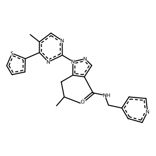 Cc1cnc(-n2ncc(C(=O)NCc3ccncc3)c2CC(C)C)nc1-c1cccs1